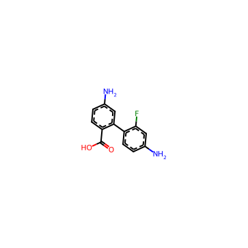 Nc1ccc(-c2cc(N)ccc2C(=O)O)c(F)c1